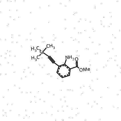 COC(=O)c1cccc(C#C[Si](C)(C)C)c1N